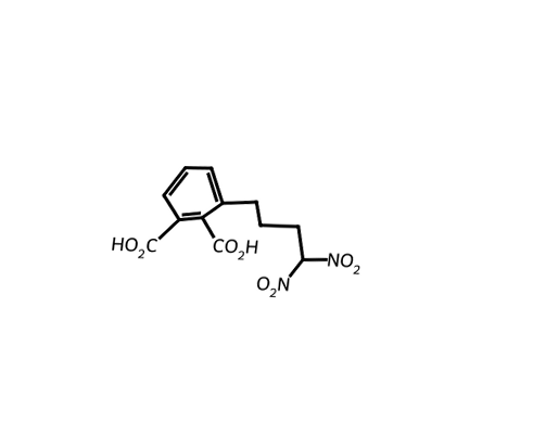 O=C(O)c1cccc(CCCC([N+](=O)[O-])[N+](=O)[O-])c1C(=O)O